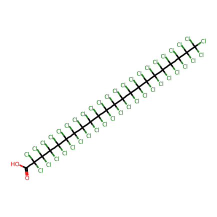 O=C(O)C(Cl)(Cl)C(Cl)(Cl)C(Cl)(Cl)C(Cl)(Cl)C(Cl)(Cl)C(Cl)(Cl)C(Cl)(Cl)C(Cl)(Cl)C(Cl)(Cl)C(Cl)(Cl)C(Cl)(Cl)C(Cl)(Cl)C(Cl)(Cl)C(Cl)(Cl)C(Cl)(Cl)C(Cl)(Cl)C(Cl)(Cl)C(Cl)(Cl)C(Cl)(Cl)C(Cl)(Cl)C(Cl)(Cl)Cl